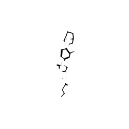 CCCC(=O)NC[C@H]1CN(c2cc(F)c(N3CC4CCC(C3)O4)c(F)c2)C(=O)O1